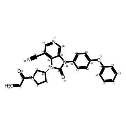 C=CC(=O)N1CC[C@@H](n2c(=O)n(-c3ccc(Oc4ccccc4)cc3)c3cncc(C#N)c32)C1